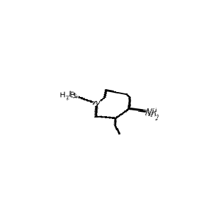 BN1CCC(N)C(C)C1